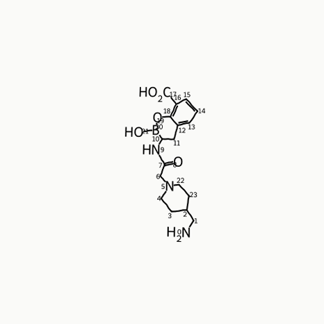 NCC1CCN(CC(=O)NC2Cc3cccc(C(=O)O)c3OB2O)CC1